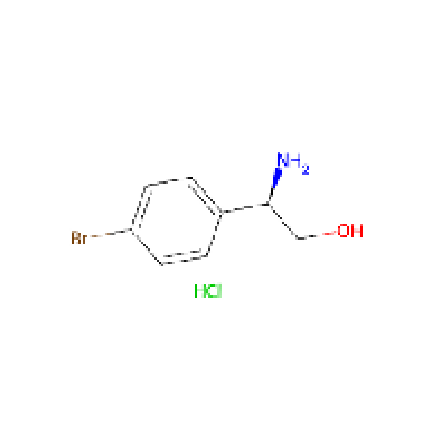 Cl.N[C@@H](CO)c1ccc(Br)cc1